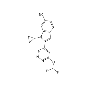 N#Cc1ccc2cc(-c3cnnc(OC(F)F)c3)n(C3CC3)c2c1